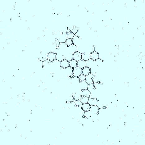 Cc1cc(CC(=O)O)c(C(C)(C)CC(=O)N(c2nn(C)c3c(-n4c([C@H](Cc5cc(F)cc(F)c5)NC(=O)Cn5nc(C(Cl)Cl)c6c5C(F)(F)[C@@H]5C[C@H]65)nc5cc(-c6nccc(C(F)F)n6)ccc5c4=O)ccc(Cl)c23)S(C)(=O)=O)c(OP(=O)(O)O)c1